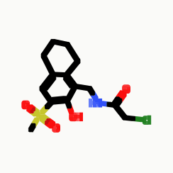 CS(=O)(=O)c1cc2c(c(CNC(=O)CCl)c1O)CCCC2